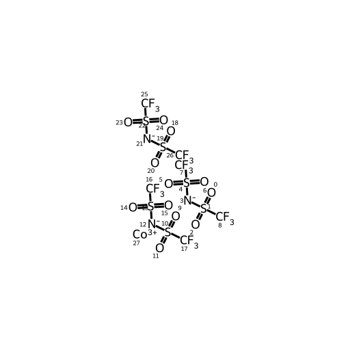 O=S(=O)([N-]S(=O)(=O)C(F)(F)F)C(F)(F)F.O=S(=O)([N-]S(=O)(=O)C(F)(F)F)C(F)(F)F.O=S(=O)([N-]S(=O)(=O)C(F)(F)F)C(F)(F)F.[Co+3]